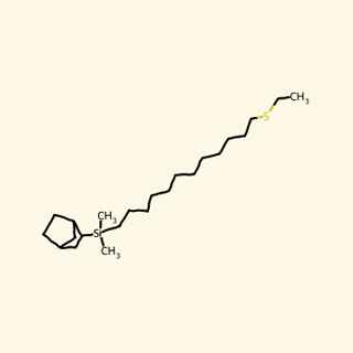 CCSCCCCCCCCCCCC[Si](C)(C)C1CC2CCC1C2